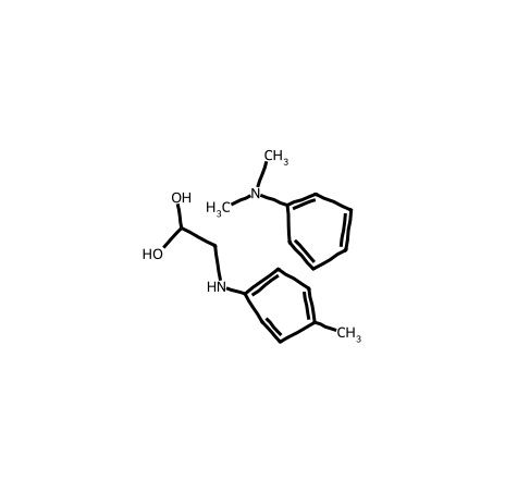 CN(C)c1ccccc1.Cc1ccc(NCC(O)O)cc1